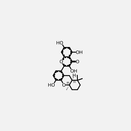 CC1(C)CCC[C@@]2(C)Oc3c(O)ccc(-c4oc5cc(O)cc(O)c5c(=O)c4O)c3C[C@@H]12